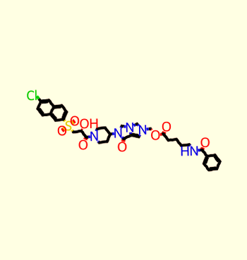 O=C(CCCCNC(=O)c1ccccc1)OCN1C=C2C(=O)N(C3CCN(C(=O)[C@H](O)CS(=O)(=O)c4ccc5cc(Cl)ccc5c4)CC3)CN2C1